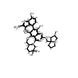 C[C@H]1CN2CCCC2(COc2nc3c4c(c(Cl)c(-c5ccc(F)c6sc(N)c(C#N)c56)c(F)c4n2)OCC2CCC(F)(F)CN32)C1